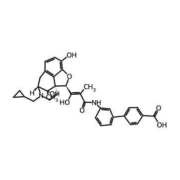 C/C(C(=O)Nc1cccc(-c2ccc(C(=O)O)cc2)c1)=C(/O)[C@@H]1Oc2c(O)ccc3c2[C@@]12CCN(CC1CC1)[C@H](C3)[C@@]2(C)O